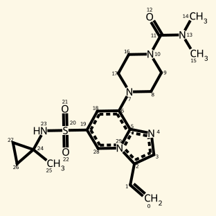 C=Cc1cnc2c(N3CCN(C(=O)N(C)C)CC3)cc(S(=O)(=O)NC3(C)CC3)cn12